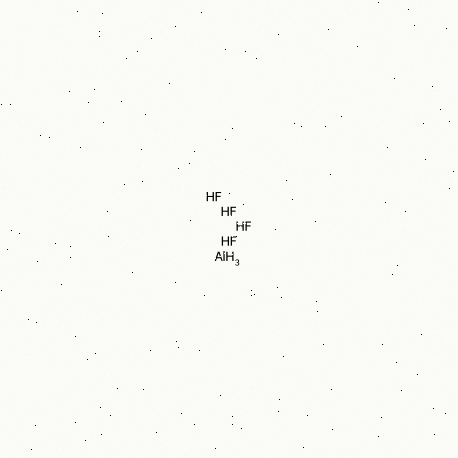 F.F.F.F.[AlH3]